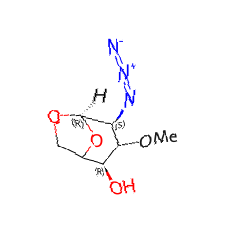 COC1[C@@H](O)C2CO[C@H](O2)[C@H]1N=[N+]=[N-]